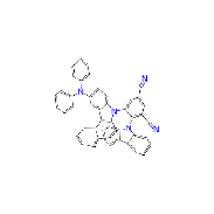 N#Cc1cc(C#N)c(-n2c3ccccc3c3ccccc32)c(-n2c3ccc(N(c4ccccc4)c4ccccc4)cc3c3c4ccccc4ccc32)c1